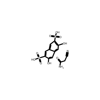 N#CCC(N)=O.O=S(=O)(O)c1cc2cc(S(=O)(=O)O)c(O)cc2cc1O